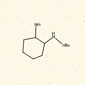 [CH2]CCCNC1CCCCC1[NH]